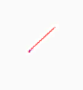 C=NOC(=O)CNCCOCCOCCOCCOCCOCCOCCOCCOCCOCCOCCOCCOCCOCCOCCOCCOCCOCCOCCOCCOCCOCCOCCOCCOCCC(C)=O